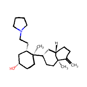 C=C1CC[C@H]2[CH][C@@H]([C@@]3(C)CC[C@H](O)C[C@@H]3CCN3CCCC3)CC[C@]12C